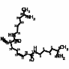 CC(N)CCCCNC(=O)C/C=C\CCC(C#N)C(=O)NCCCCC(C)N